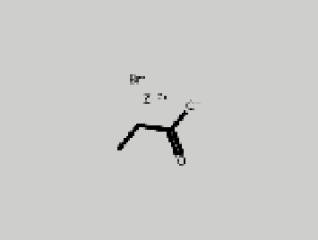 CCC(=O)[O-].[Br-].[Zn+2]